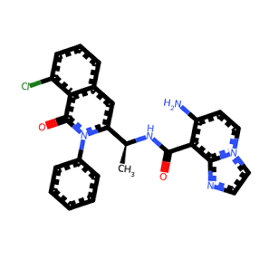 C[C@H](NC(=O)c1c(N)ccn2ccnc12)c1cc2cccc(Cl)c2c(=O)n1-c1ccccc1